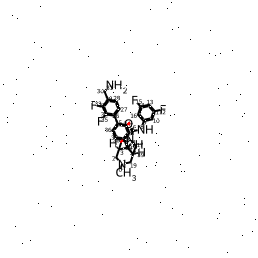 CN1C[C@@H]2CN(C(=O)Nc3cc(F)cc(F)c3)C[C@H](C1)C2(O)c1ccc(-c2ccc(CN)c(F)c2F)cc1